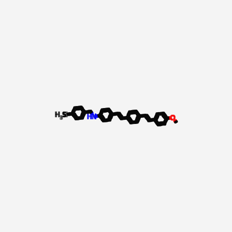 COc1ccc(/C=C/c2ccc(/C=C/c3ccc(NCc4ccc([SiH3])cc4)cc3)cc2)cc1